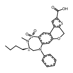 CCCC[C@@H]1CN(c2ccccc2)c2cc3c(cc2S(=O)(=O)N1C)-c1cc(C(=O)O)sc1CO3